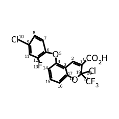 O=C(O)C1=Cc2c(Oc3ccc(Cl)cc3F)cccc2OC1(Cl)C(F)(F)F